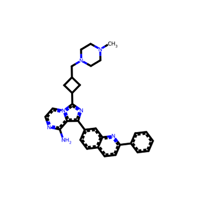 CN1CCN(CC2CC(c3nc(-c4ccc5ccc(-c6ccccc6)nc5c4)c4c(N)nccn34)C2)CC1